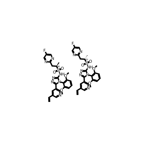 C=Cc1cncc(-c2nnc(NS(=O)(=O)[C@@H](C)Cc3ncc(F)cn3)n2-c2c(OC)cccc2OC)c1.C=Cc1cncc(-c2nnc(NS(=O)(=O)[C@H](C)Cc3ncc(F)cn3)n2-c2c(OC)cccc2OC)c1